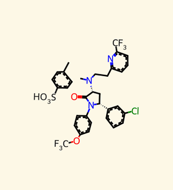 CN(CCc1cccc(C(F)(F)F)n1)[C@@H]1C[C@H](c2cccc(Cl)c2)N(c2ccc(OC(F)(F)F)cc2)C1=O.Cc1ccc(S(=O)(=O)O)cc1